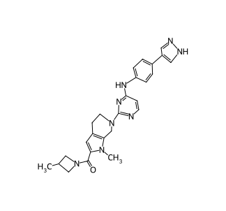 CC1CN(C(=O)c2cc3c(n2C)CN(c2nccc(Nc4ccc(-c5cn[nH]c5)cc4)n2)CC3)C1